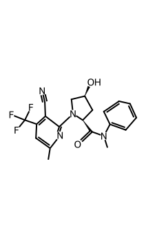 Cc1cc(C(F)(F)F)c(C#N)c(N2C[C@@H](O)C[C@H]2C(=O)N(C)c2ccccc2)n1